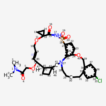 CN(C)C(=O)CO[C@H]1/C=C/COC2(CC2)C(=O)NS(=O)(=O)c2ccc3c(c2)N(CCCCc2cc(Cl)ccc2CO3)C[C@@H]2CC[C@H]21